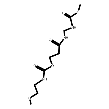 COCCNC(=O)OCCC(=O)NCNC(=O)OC